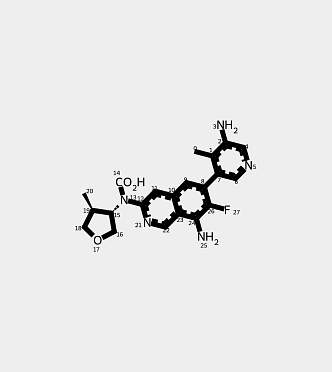 Cc1c(N)cncc1-c1cc2cc(N(C(=O)O)[C@@H]3COC[C@H]3C)ncc2c(N)c1F